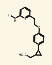 CCNc1cccc(CCOc2ccc(C3CC3CC(=O)O)cc2)n1